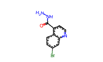 NNC(=O)c1ccnc2cc(Br)ccc12